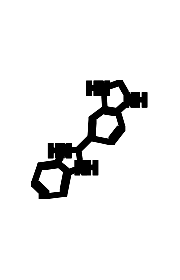 [c]1ccc2c(c1)NC(c1ccc3c(c1)NCN3)N2